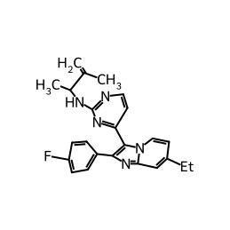 C=C(C)C(C)Nc1nccc(-c2c(-c3ccc(F)cc3)nc3cc(CC)ccn23)n1